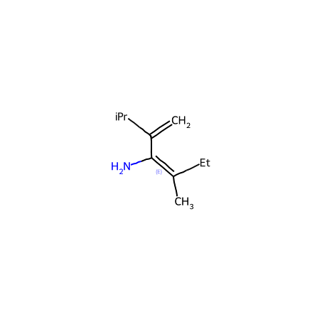 C=C(/C(N)=C(/C)CC)C(C)C